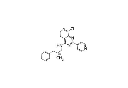 C[C@@H](CNc1nc(-c2ccncc2)nc2c(Cl)nccc12)Cc1ccccc1